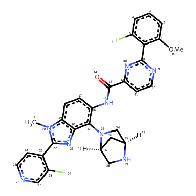 COc1cccc(F)c1-c1nccc(C(=O)Nc2ccc3c(nc(-c4ccncc4F)n3C)c2N2C[C@@H]3C[C@H]2CN3)n1